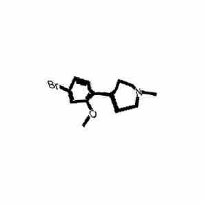 COc1cc(Br)ccc1C1CCN(C)CC1